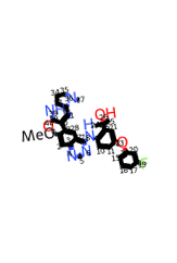 COc1cc2ncnc(Nc3ccc(Oc4cccc(F)c4)cc3C(C)(C)O)c2cc1C(=CC1CCCN1C)C(N)=O